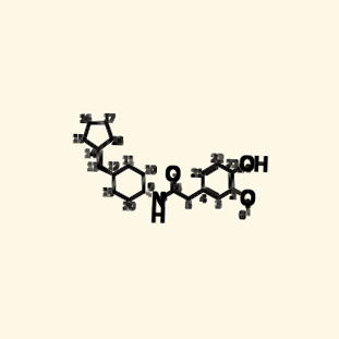 COc1cc(CC(=O)N[C@H]2CC[C@H](C=C3CCCC3)CC2)ccc1O